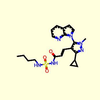 CCCCNS(=O)(=O)NC(=O)/C=C/c1c(C2CC2)nn(C)c1-n1ccc2cccnc21